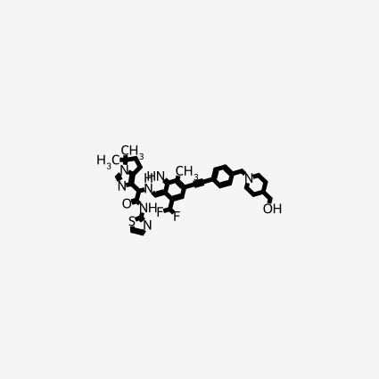 CC1=C(C#Cc2ccc(CN3CCC(CO)CC3)cc2)C=C(C(F)F)/C(=C/NC(C(=O)Nc2nccs2)c2ncn3c2CCC3(C)C)C1=N